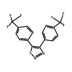 FC(F)(F)c1ccc(-c2nnsc2-c2ccc(C(F)(F)F)cc2)cc1